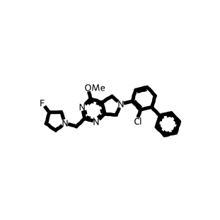 COc1nc(CN2CCC(F)C2)nc2c1CN(C1=C(Cl)C(c3ccccc3)CC=C1)C2